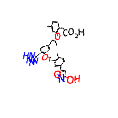 Cc1ccc(CC(=O)O)c(OC(C)Cc2ccc(-c3nnn[nH]3)c(OCCc3cc(-c4cc(O)no4)ccc3C)c2)c1